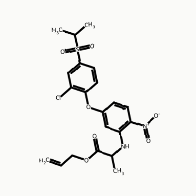 C=CCOC(=O)C(C)Nc1cc(Oc2ccc(S(=O)(=O)C(C)C)cc2Cl)ccc1[N+](=O)[O-]